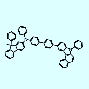 CC1(c2ccccc2)c2ccccc2-c2ccc(N(c3ccccc3)c3ccc(-c4ccc(-c5ccc6c(c5)c5c7ccccc7ccc5n6-c5ccccc5)cc4)cc3)cc21